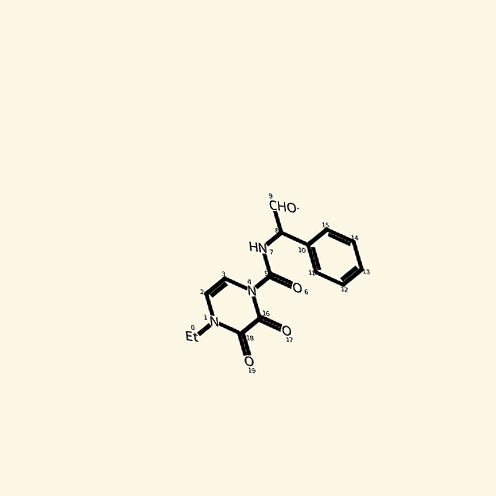 CCn1ccn(C(=O)NC([C]=O)c2ccccc2)c(=O)c1=O